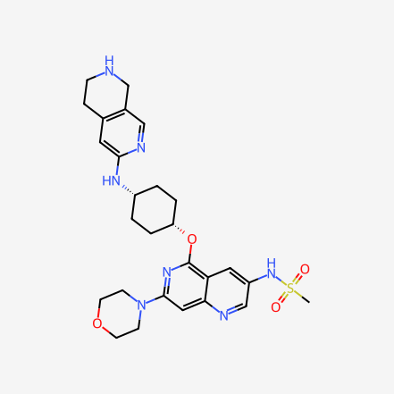 CS(=O)(=O)Nc1cnc2cc(N3CCOCC3)nc(O[C@H]3CC[C@@H](Nc4cc5c(cn4)CNCC5)CC3)c2c1